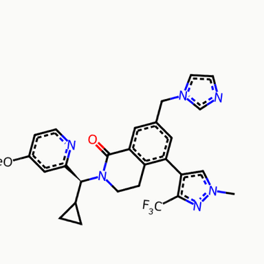 COc1ccnc([C@H](C2CC2)N2CCc3c(cc(Cn4ccnc4)cc3-c3cn(C)nc3C(F)(F)F)C2=O)c1